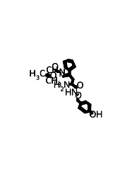 CC(C)(C)OC(=O)n1cc(CC(N)C(=O)NOCc2ccc(O)cc2)c2ccccc21